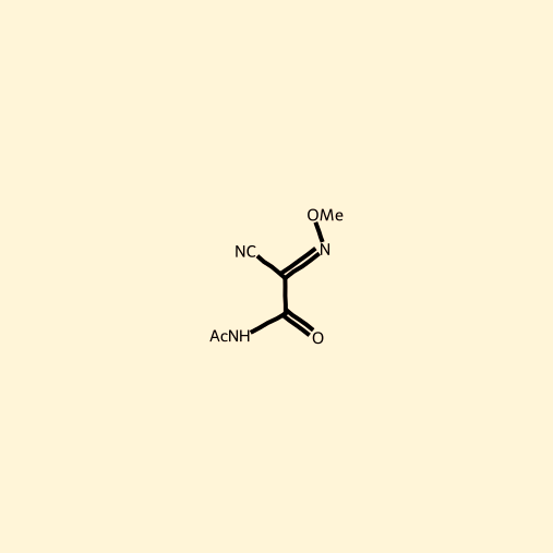 [CH2]C(=O)NC(=O)/C(C#N)=N/OC